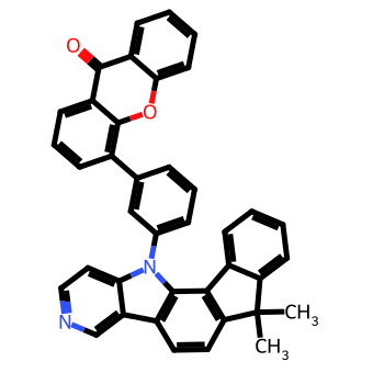 CC1(C)c2ccccc2-c2c1ccc1c3cnccc3n(-c3cccc(-c4cccc5c(=O)c6ccccc6oc45)c3)c21